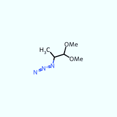 COC(OC)C(C)N=[N+]=[N-]